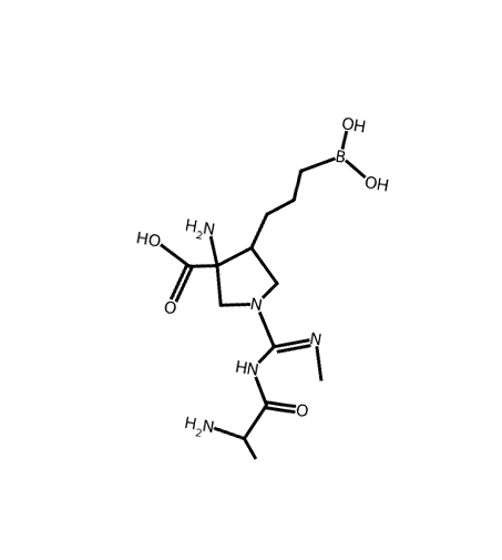 C/N=C(\NC(=O)C(C)N)N1CC(CCCB(O)O)C(N)(C(=O)O)C1